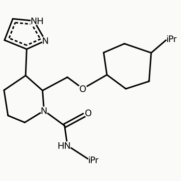 CC(C)NC(=O)N1CCCC(c2cc[nH]n2)C1COC1CCC(C(C)C)CC1